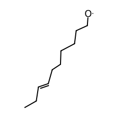 CC/C=C/CCCCCC[O]